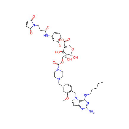 CCCCCNc1nc(N)nc2ccn(Cc3ccc(CN4CCN(C(=O)OC[C@@]5(O)[C@@H](O)[C@@](Oc6cccc(NC(=O)CCN7C(=O)C=CC7=O)c6)(C(=O)O)CO[C@@H]5O)CC4)cc3OC)c12